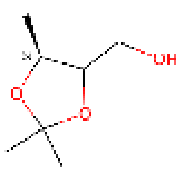 C[C@@H]1OC(C)(C)OC1CO